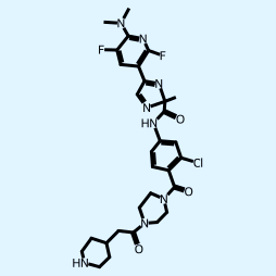 CN(C)c1nc(F)c(C2=NC(C)(C(=O)Nc3ccc(C(=O)N4CCN(C(=O)CC5CCNCC5)CC4)c(Cl)c3)N=C2)cc1F